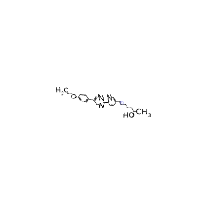 C=CCOc1ccc(-c2cnc(-c3ccc(/C=C/CCCC(C)O)cn3)nc2)cc1